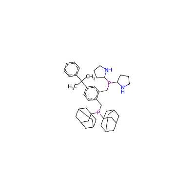 CC(C)(c1ccccc1)c1ccc(CP(C23CC4CC(CC(C4)C2)C3)C23CC4CC(CC(C4)C2)C3)c(CP(C2CCCN2)C2CCCN2)c1